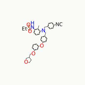 [C-]#[N+]c1ccc(CN(Cc2ccc(Oc3cccc(OCC4CCOC4)c3)cc2)c2cccc(NS(=O)(=O)CC)c2C)cc1